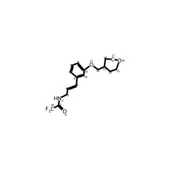 O=C(NCC=Cc1cccc(OCC2CCOCC2)c1)C(F)(F)F